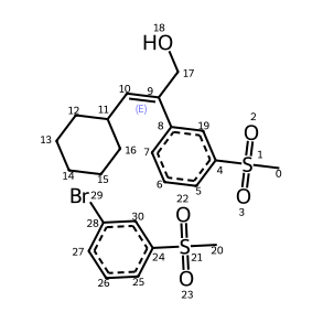 CS(=O)(=O)c1cccc(/C(=C\C2CCCCC2)CO)c1.CS(=O)(=O)c1cccc(Br)c1